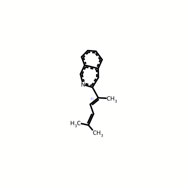 CC(C)=C/C=C(\C)c1cc2ccccc2cn1